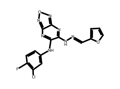 Fc1ccc(Nc2nc3nonc3nc2NN=Cc2ccco2)cc1Cl